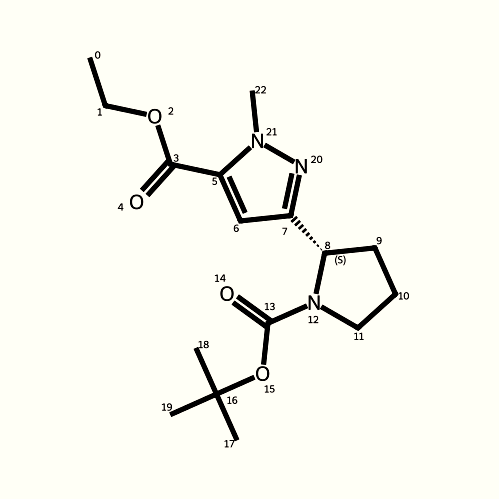 CCOC(=O)c1cc([C@@H]2CCCN2C(=O)OC(C)(C)C)nn1C